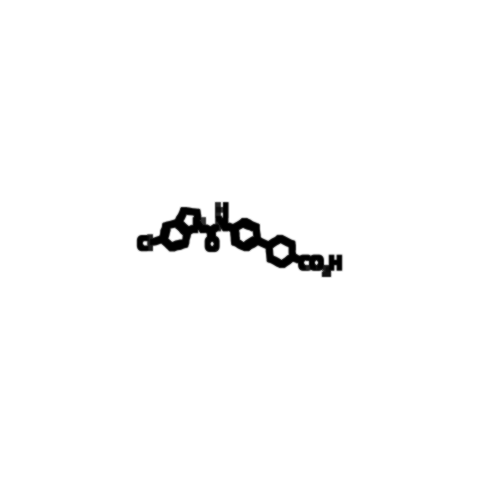 O=C(O)C1CCC(c2ccc(NC(=O)N3CCc4cc(Cl)ccc43)cc2)CC1